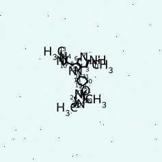 CNc1cc2c(cn1)c(-c1cnn(C)c1)nn2C1CCC(Oc2ncc(C)nc2C)CC1